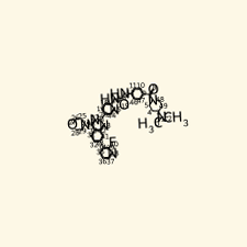 CN(C)C1CCN(C(=O)c2ccc(NC(=O)Nc3ccc(-c4nc(N5CCOCC5)c5ccc(-c6cccnc6F)cc5n4)cn3)cc2)CC1